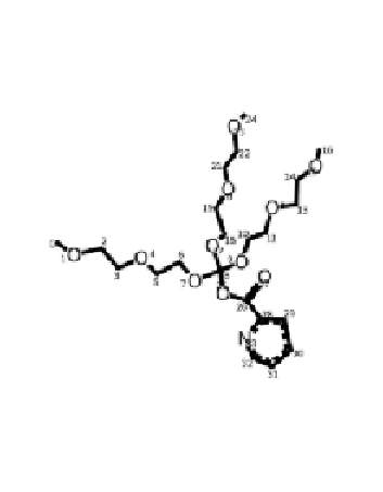 COCCOCCOC(OCCOCCOC)(OCCOCCOC)OC(=O)c1ccccn1